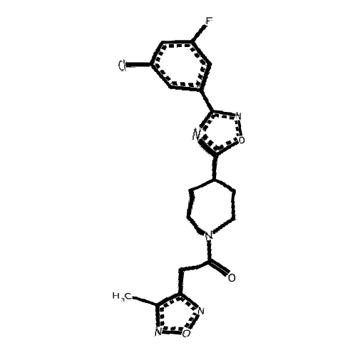 Cc1nonc1CC(=O)N1CCC(c2nc(-c3cc(F)cc(Cl)c3)no2)CC1